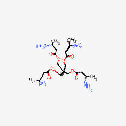 C/C(N)=C/C(=O)OCC(COC(=O)/C=C(/C)N)(COC(=O)/C=C(/C)N)COC(=O)/C=C(/C)N